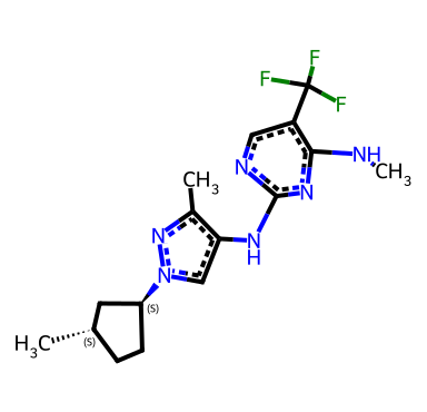 CNc1nc(Nc2cn([C@H]3CC[C@H](C)C3)nc2C)ncc1C(F)(F)F